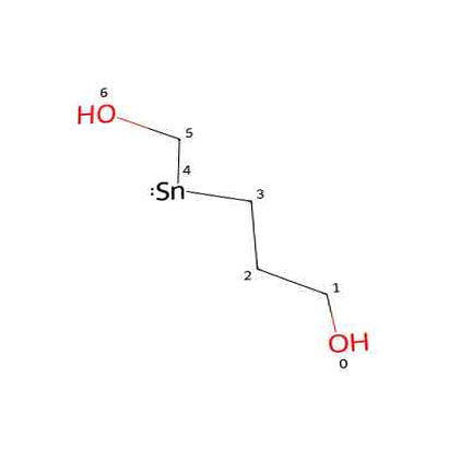 OCC[CH2][Sn][CH2]O